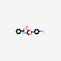 C[C@@H]1O[C@@H](c2ccc(N)cc2)OC[C@H]1NC(=O)c1ccccc1